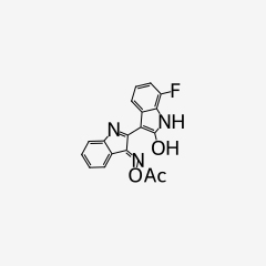 CC(=O)O/N=C1/C(c2c(O)[nH]c3c(F)cccc23)=Nc2ccccc21